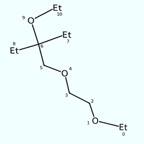 [CH2]COCCOCC(C[CH2])(C[CH2])OC[CH2]